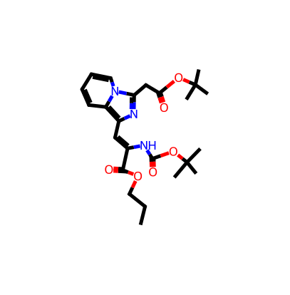 CCCOC(=O)/C(=C/c1nc(CC(=O)OC(C)(C)C)n2ccccc12)NC(=O)OC(C)(C)C